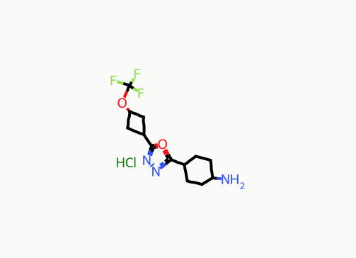 Cl.NC1CCC(c2nnc(C3CC(OC(F)(F)F)C3)o2)CC1